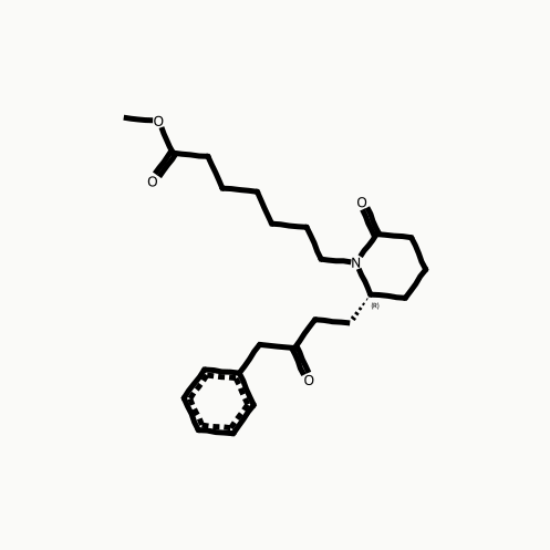 COC(=O)CCCCCCN1C(=O)CCC[C@@H]1CCC(=O)Cc1ccccc1